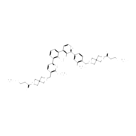 COCCC(=O)N1CC2(CN(Cc3ccc(-c4nccc(-c5cccc(-c6ccc(CN7CC8(C7)CN(C(=O)CCOC)C8)c(OC)n6)c5Cl)c4Cl)cc3OC)C2)C1